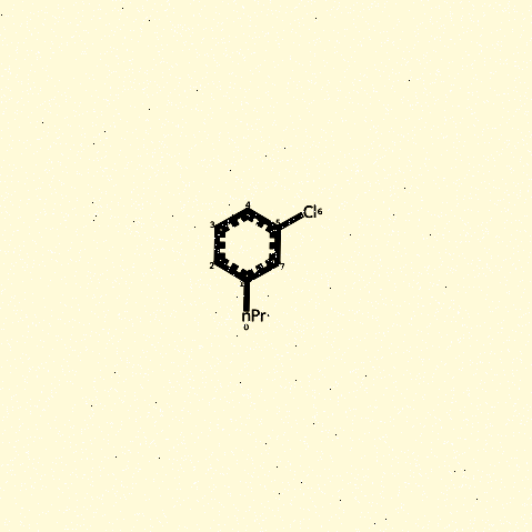 CC[CH]c1cccc(Cl)c1